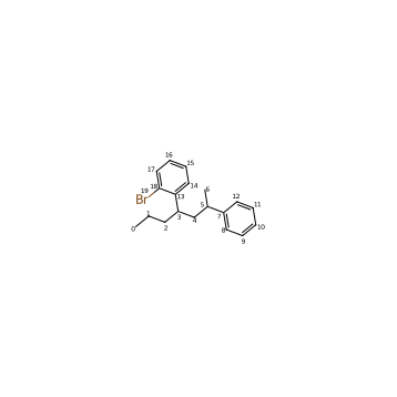 CCCC(CC(C)c1ccccc1)c1ccccc1Br